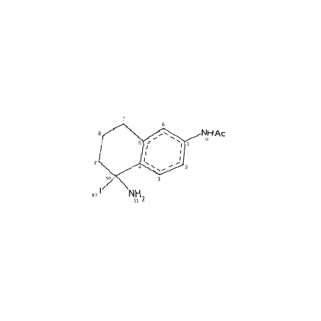 CC(=O)Nc1ccc2c(c1)CCCC2(N)I